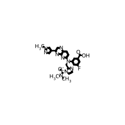 CN(C)[S+]([O-])n1ccnc1CN(c1cc(F)cc(C(=O)O)c1)c1ccc2ncc(-c3cnn(C)c3)nc2n1